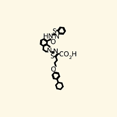 O=C(Nc1nc2ccccc2s1)c1cccc2c1CN(c1nc(C(=O)O)c(CCCOc3ccc(C4CCCCC4)cc3)s1)CC2